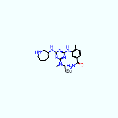 Cc1ccc(C(N)=O)cc1Nc1nc(NC2CCCCNC2)nc(N(C)CC(C)(C)C)n1